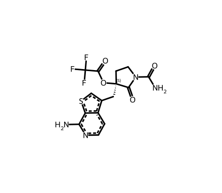 NC(=O)N1CC[C@](Cc2csc3c(N)nccc23)(OC(=O)C(F)(F)F)C1=O